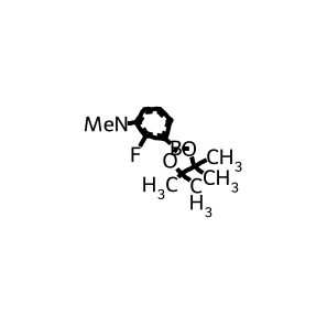 CNc1cccc(B2OC(C)(C)C(C)(C)O2)c1F